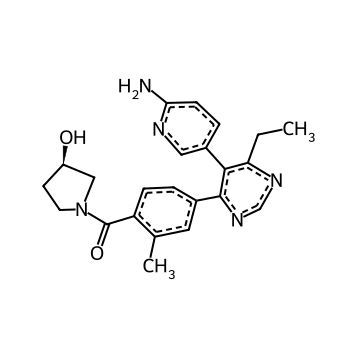 CCc1ncnc(-c2ccc(C(=O)N3CC[C@@H](O)C3)c(C)c2)c1-c1ccc(N)nc1